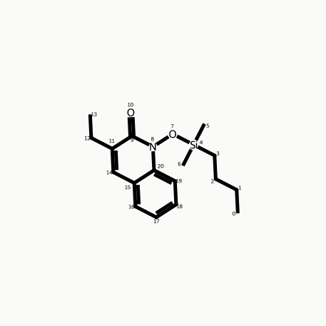 CCCC[Si](C)(C)On1c(=O)c(CC)cc2ccccc21